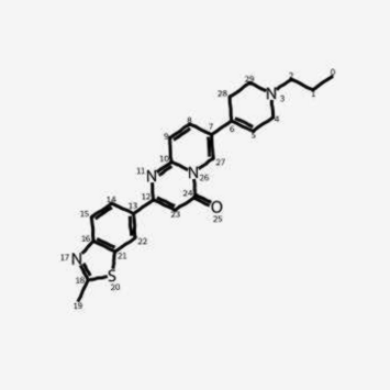 CCCN1CC=C(c2ccc3nc(-c4ccc5nc(C)sc5c4)cc(=O)n3c2)CC1